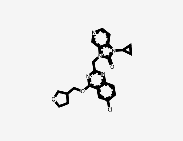 O=c1n(Cc2nc(OCC3CCOC3)c3cc(Cl)ccc3n2)c2cnccc2n1C1CC1